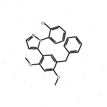 COc1cc(OC)c(-c2ccnn2-c2ccccc2Cl)cc1Cc1ccccc1